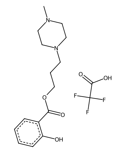 CN1CCN(CCCOC(=O)c2ccccc2O)CC1.O=C(O)C(F)(F)F